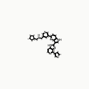 c1cc2[nH]c(-c3c[nH]c4ccc(-c5cncc(CNCC6CCCC6)c5)nc34)nc2c(-c2ccoc2)n1